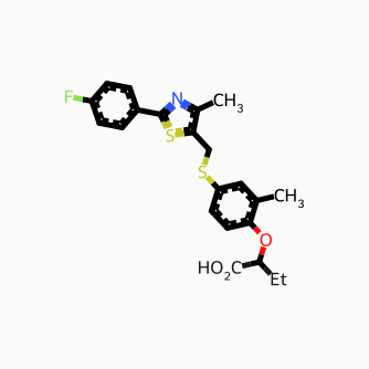 CCC(Oc1ccc(SCc2sc(-c3ccc(F)cc3)nc2C)cc1C)C(=O)O